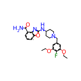 CCOc1cc(CN2CCC(Nc3nc4c(C(N)=O)cc[c]c4o3)CC2)cc(OCC)c1F